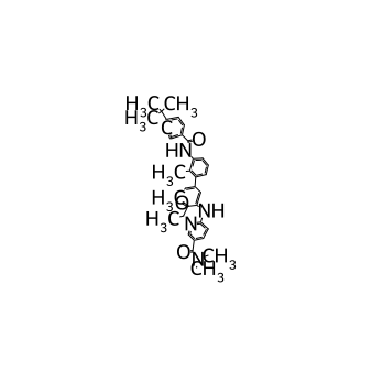 C/C=C(\C=C(\Nc1ccc(C(=O)N(C)C)cn1)C(=O)CC)c1cccc(NC(=O)c2ccc(C(C)(C)C)cc2)c1C